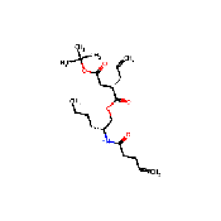 C=CCCC(=O)N[C@H](CCCC)COC(=O)[C@@H](CC=C)CC(=O)OC(C)(C)C